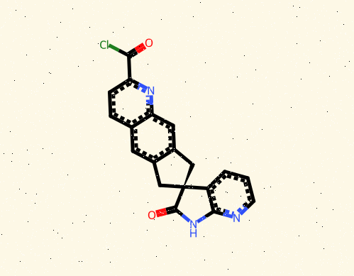 O=C(Cl)c1ccc2cc3c(cc2n1)C[C@]1(C3)C(=O)Nc2ncccc21